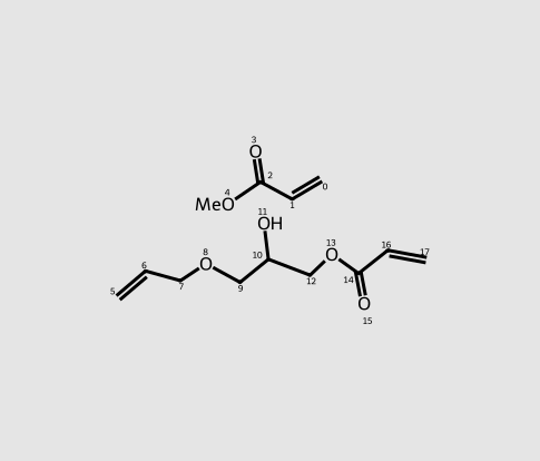 C=CC(=O)OC.C=CCOCC(O)COC(=O)C=C